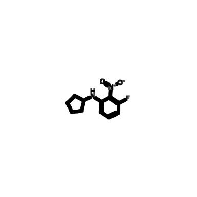 O=[N+]([O-])c1c(F)cccc1NC1CCCC1